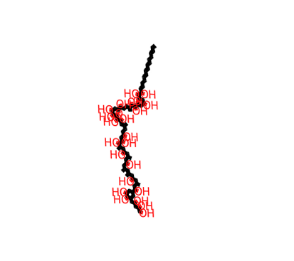 C=C/C=C/CC/C=C/C=C/C=C/CC/C=C/C(O)C(O)C1CC(O)CC(C(O)C(O)C(=C)CCC(O)C2CC(O)C(O)C(C(O)C(O)/C=C(\C)CCC(O)CC(O)C(O)C(C)CC(O)CC(C)CC(O)CC(C)/C=C(\C)CC(O)CC(C)CC(O)C3CC(O)C(O)C(CC(O)CC(O)CO)C3)O2)O1